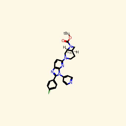 CC(C)(C)OC(=O)N1C[C@H]2CCN(c3ccc4nc(-c5ccc(F)cc5)n(-c5ccncc5)c4n3)C[C@H]21